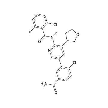 CN(C(=O)c1c(F)cccc1Cl)c1ncc(-c2cc(C(N)=O)ccc2Cl)cc1C1CCOC1